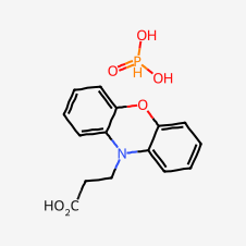 O=C(O)CCN1c2ccccc2Oc2ccccc21.O=[PH](O)O